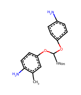 CCCCCCCCCC(Oc1ccc(N)cc1)Oc1ccc(N)c(C)c1